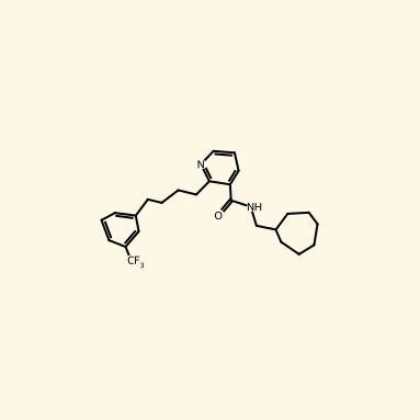 O=C(NCC1CCCCCC1)c1cccnc1CCCCc1cccc(C(F)(F)F)c1